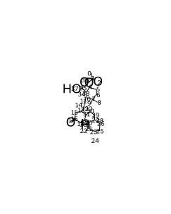 CC(=O)O[C@H]1CCC(C)(C)[C@H](CC[C@]2(C)CC(=O)C=C3[C@@H]4[C@@H](C)[C@@H](C)CC[C@]4(C)CC[C@@]32C)[C@@]1(C)C(=O)O